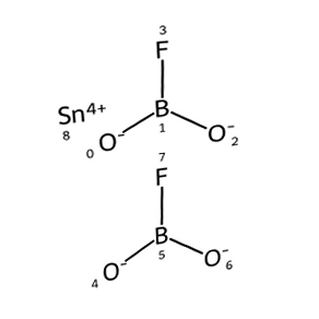 [O-]B([O-])F.[O-]B([O-])F.[Sn+4]